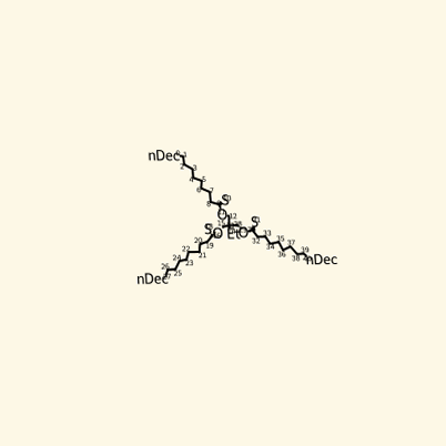 CCCCCCCCCCCCCCCCCCC(=S)OCC(CC)(COC(=S)CCCCCCCCCCCCCCCCCC)COC(=S)CCCCCCCCCCCCCCCCCC